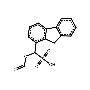 O=COC(c1cccc2c1Cc1ccccc1-2)S(=O)(=O)O